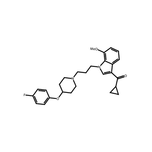 COc1cccc2c(C(=O)C3CC3)cn(CCCN3CCC(Oc4ccc(F)cc4)CC3)c12